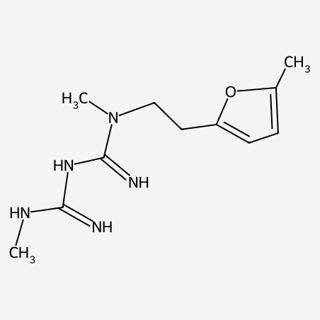 CNC(=N)NC(=N)N(C)CCc1ccc(C)o1